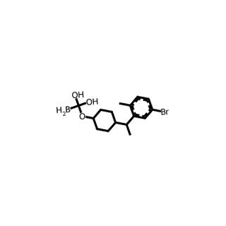 BC(O)(O)OC1CCC(C(C)c2cc(Br)ccc2C)CC1